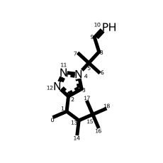 CC(c1cn(C(C)(C)CC=P)nn1)C(C)C(C)(C)C